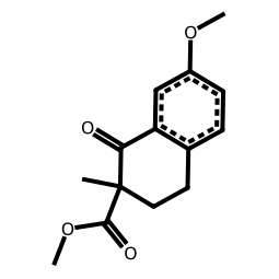 COC(=O)C1(C)CCc2ccc(OC)cc2C1=O